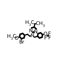 COc1ccc(CCN(Cc2ccc(OC(F)(F)F)cc2)c2ncc(C(C)C)cn2)cc1Br